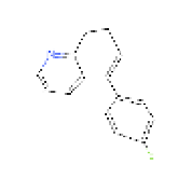 Fc1ccc(C2=CCCc3nc[c]cc32)cc1